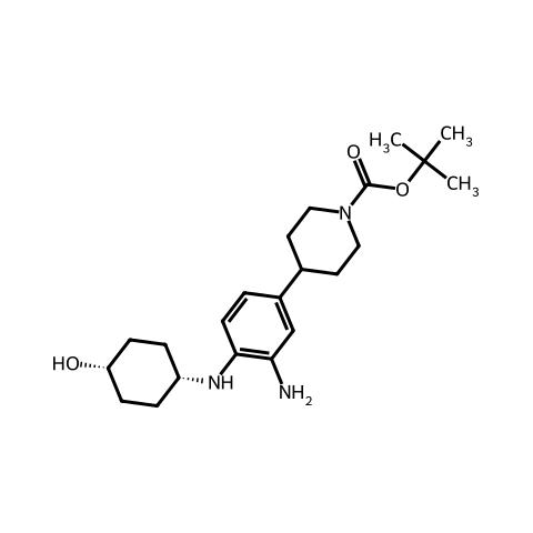 CC(C)(C)OC(=O)N1CCC(c2ccc(N[C@H]3CC[C@@H](O)CC3)c(N)c2)CC1